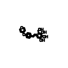 OC[C@@H]1[C@@H](O)[C@H](O)[C@@H](O)CN1CCc1ccc(OC2CCOCC2)cc1